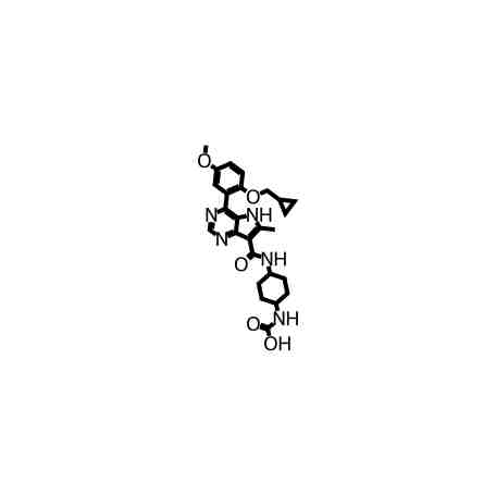 COc1ccc(OCC2CC2)c(-c2ncnc3c(C(=O)NC4CCC(NC(=O)O)CC4)c(C)[nH]c23)c1